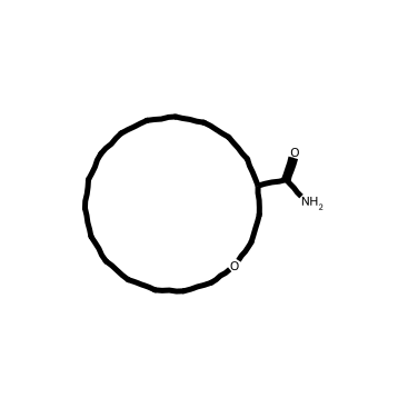 NC(=O)C1CCCCCCCCCCCCCCCOCC1